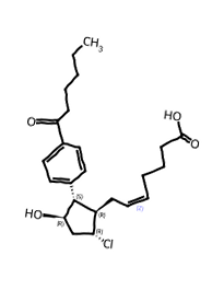 CCCCCC(=O)c1ccc([C@@H]2[C@@H](C/C=C\CCCC(=O)O)[C@H](Cl)C[C@H]2O)cc1